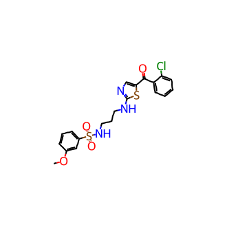 COc1cccc(S(=O)(=O)NCCCNc2ncc(C(=O)c3ccccc3Cl)s2)c1